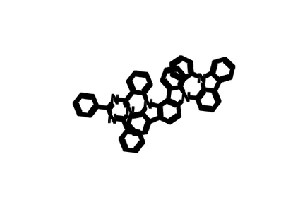 c1ccc(-c2nc(-c3ccccc3)nc(-c3ccccc3-n3c4ccccc4c4ccc5c(c6ccccc6n5-c5cccc6c7ccccc7n(-c7ccccc7)c56)c43)n2)cc1